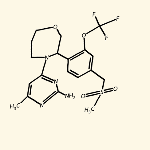 Cc1cc(N2CCCOCC2c2ccc(CS(C)(=O)=O)cc2OC(F)(F)F)nc(N)n1